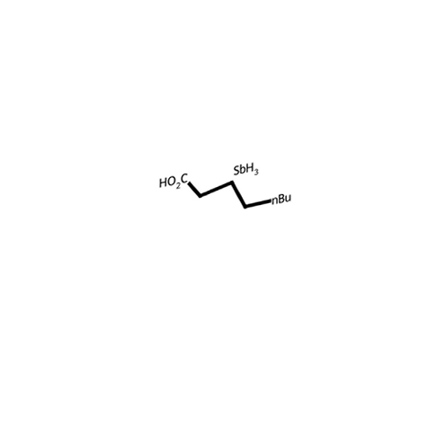 CCCCCCCC(=O)O.[SbH3]